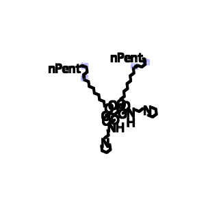 CCCCC/C=C\C/C=C\CCCCCCCCOC(=O)C(OC(=O)NCCCN1CCCCC1)C(OC(=O)NCCCN1CCCCC1)C(=O)OCCCCCCCC/C=C\C/C=C\CCCCC